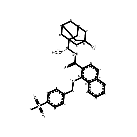 CS(=O)(=O)c1ccc(COc2c(C(=O)N[C@H](C(=O)O)C34CC5CC(CC(O)(C5)C3)C4)ccc3ccccc23)cc1